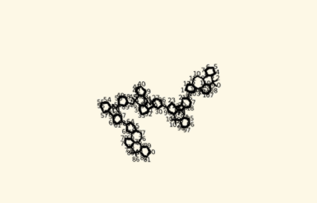 CC1(C)c2ccccc2C2CCc3ccc(-c4ccc5c(c4)c4cc(-c6ccc7c(c6)c6cccc8c6n7-c6ccccc6C8(C)Cc6cccc(-n7c8ccccc8c8ccc(-c9ccc%10c(c9)-c9cccc%11c9C(CC%10)c9ccccc9C%11(C)C)cc87)c6)cc6c4n5-c4ccccc4C6(C)C)cc3-c3cccc1c32